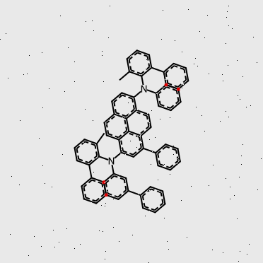 Cc1cccc(-c2ccccc2)c1N(c1ccccc1)c1ccc2ccc3c(N(c4cccc(-c5ccccc5)c4)c4c(C)cccc4-c4ccccc4)cc(-c4ccccc4)c4ccc1c2c43